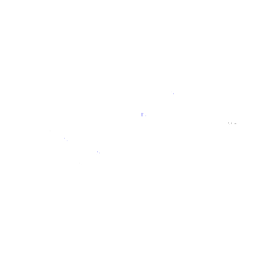 COc1ccc(F)cc1-c1ccnc2[nH]c(C3=CCN(C(=O)c4cscn4)CC3)cc12